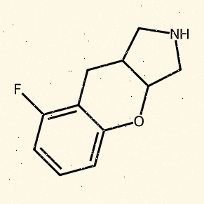 Fc1cccc2c1CC1CNCC1O2